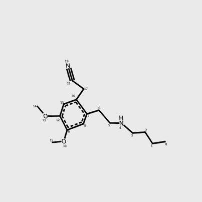 CCCCNCCc1cc(OC)c(OC)cc1CC#N